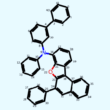 c1ccc(-c2cccc(N(c3ccccc3)c3cccc4c3oc3c(-c5ccccc5)cc5ccccc5c34)c2)cc1